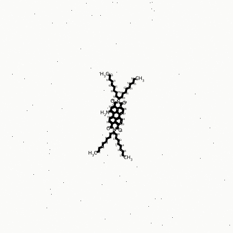 CCCCCCCCCC(CCCCCCCCC)N1C(=O)c2ccc3c4ccc5c6c(cc(N)c(c7ccc(c2c37)C1=O)c64)C(=O)N(C(CCCCCCCCC)CCCCCCCCC)C5=O